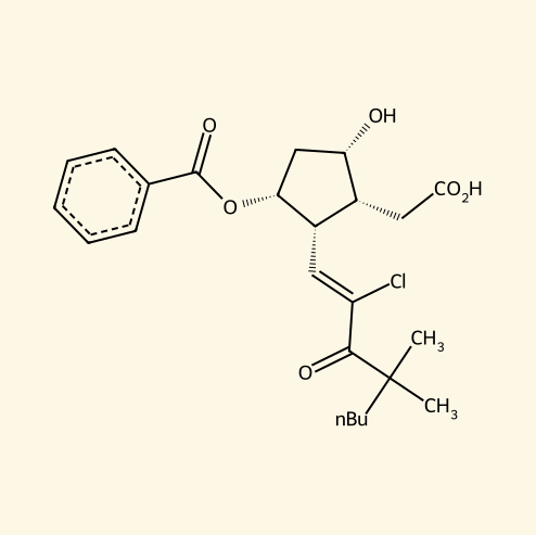 CCCCC(C)(C)C(=O)C(Cl)=C[C@H]1[C@@H](CC(=O)O)[C@@H](O)C[C@H]1OC(=O)c1ccccc1